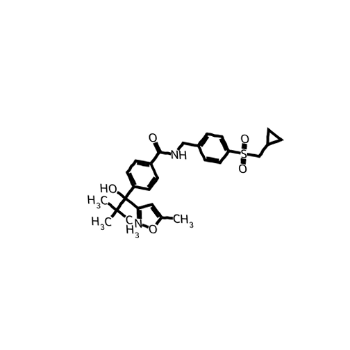 Cc1cc(C(O)(c2ccc(C(=O)NCc3ccc(S(=O)(=O)CC4CC4)cc3)cc2)C(C)(C)C)no1